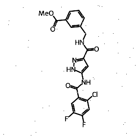 COC(=O)c1cccc(CNC(=O)c2cc(NC(=O)c3cc(F)c(F)cc3Cl)[nH]n2)c1